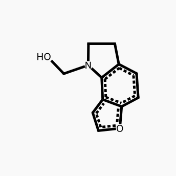 OCN1CCc2ccc3occc3c21